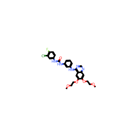 COCCOc1cc2ncnc(Nc3cccc(NC(=O)Nc4ccc(F)c(Cl)c4)c3)c2cc1OCCOC